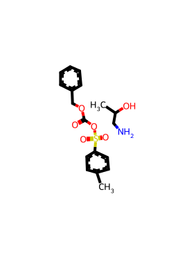 CC(O)CN.Cc1ccc(S(=O)(=O)OC(=O)OCc2ccccc2)cc1